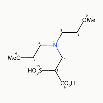 COCCN(CCOC)CC(C(=O)O)S(=O)(=O)O